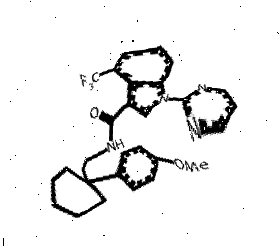 COc1ccc(C2(CNC(=O)c3cn(-c4ncccn4)c4cccc(C(F)(F)F)c34)CCCCC2)cc1